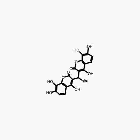 CCCCC(c1c(O)c2ccc(O)c(O)c2oc1=O)c1c(O)c2ccc(O)c(O)c2oc1=O